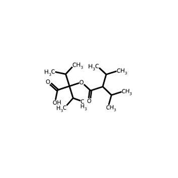 CC(C)C(C(=O)OC(C(=O)O)(C(C)C)C(C)C)C(C)C